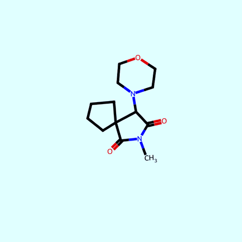 CN1C(=O)C(N2CCOCC2)C2(CCCC2)C1=O